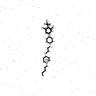 CCCCC[Si@H]1CC[C@H](CCCC[C@H]2CC[C@H](c3cc(F)c(C(F)(F)F)c(F)c3)CC2)CC1